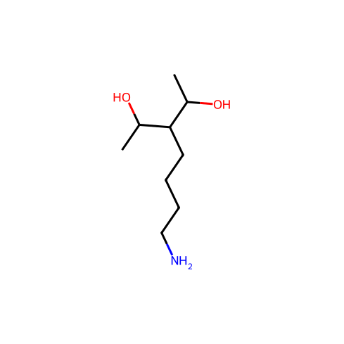 CC(O)C(CCCCN)C(C)O